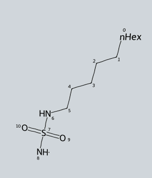 CCCCCCCCCCCNS([NH])(=O)=O